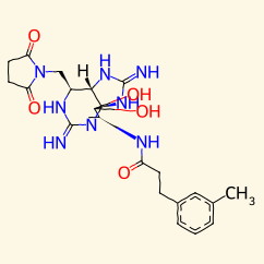 Cc1cccc(CCC(=O)N[C@H]2CN3C(=N)N[C@@H](CN4C(=O)CCC4=O)[C@@H]4NC(=N)N[C@@]43C2(O)O)c1